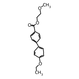 CCOc1ccc(-c2ccc(C(=O)OCCOC)cc2)cc1